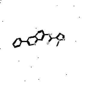 Cn1nccc1C(=O)Nc1ccc2cc(-c3ccccc3)cnc2c1